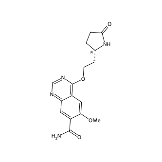 COc1cc2c(OCC[C@@H]3CCC(=O)N3)ncnc2cc1C(N)=O